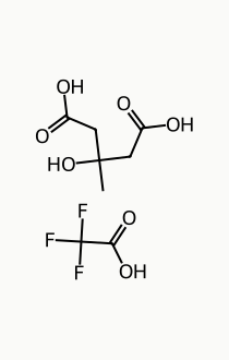 CC(O)(CC(=O)O)CC(=O)O.O=C(O)C(F)(F)F